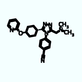 CN(C)Cc1nnc([C@H]2CC[C@H](Oc3ccccn3)CC2)n1-c1ccc(C#N)cc1